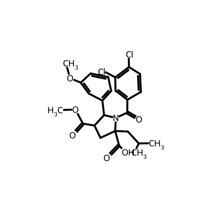 COC(=O)C1CC(CC(C)C)(C(=O)O)N(C(=O)c2ccc(Cl)c(Cl)c2)C1c1cccc(OC)c1